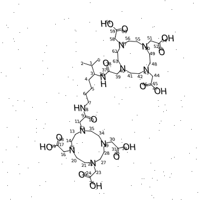 CC(C)C(CCCCNC(=O)CN1CCN(CC(=O)O)CCN(CC(=O)O)CCN(CC(=O)O)CC1)NC(=O)CN1CCN(CC(=O)O)CCN(CC(=O)O)CCN(CC(=O)O)CC1